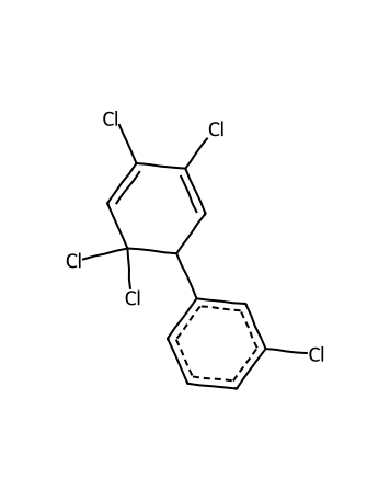 ClC1=CC(c2cccc(Cl)c2)C(Cl)(Cl)C=C1Cl